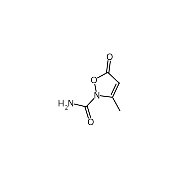 Cc1cc(=O)on1C(N)=O